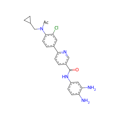 CC(=O)N(CC1CC1)c1ccc(-c2ccc(C(=O)Nc3ccc(N)c(N)c3)cn2)cc1Cl